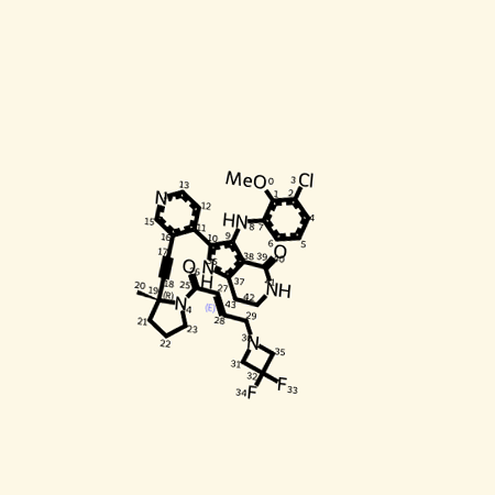 COc1c(Cl)cccc1Nc1c(-c2ccncc2C#C[C@@]2(C)CCCN2C(=O)/C=C/CN2CC(F)(F)C2)[nH]c2c1C(=O)NCC2